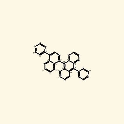 c1ccc(-c2c3ccccc3c(-c3ccc(-c4ccncc4)c4ccccc34)c3ccccc23)cc1